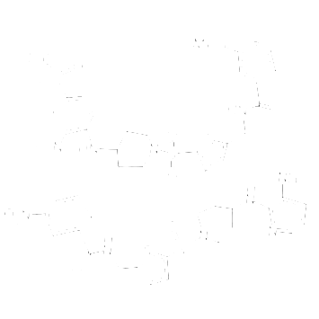 COc1cccc(C(=O)NCc2ccc(S(=O)(=O)N3CCC(Nc4ccc(S(=O)(=O)C(F)(F)F)cc4[N+](=O)[O-])CC3)s2)c1.Nc1cccnc1NC1CCN(S(=O)(=O)c2ccc(CNC(=O)c3cccc([N+](=O)[O-])c3)s2)CC1